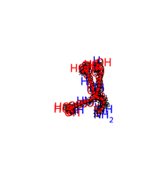 CC(=O)NC1(C)C(C2(CO)CC(O)[C@H]2O)O[C@H]1OCCOCCOCCNC(=O)CCOCC(COCCC(=O)NCCOCCOCCO[C@@H]1OC2C3(CO)C(C(O)[C@H]3O)C21NC(C)=O)(COCCC(=O)NCCOCCOCCO[C@@H]1OC2C3(CO)C(C(O)[C@H]3O)C21NC(C)=O)NC(=O)C(C)(C)OCCC(C)(C)CCNC(=O)CON